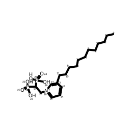 CCCCCCCCCCCCc1ccc[n+](CC(P(=O)(O)O)P(=O)(O)O)c1